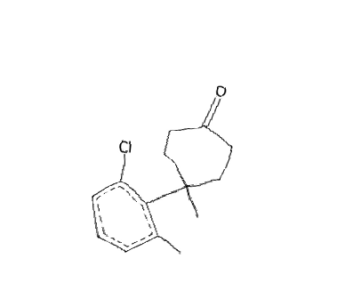 Cc1cccc(Cl)c1C1(C)CCC(=O)CC1